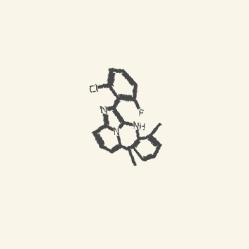 CCc1cccc2nc(-c3c(F)cccc3Cl)c(Nc3c(C)cccc3C)n12